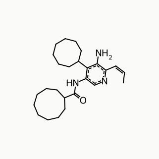 C/C=C\c1ncc(NC(=O)C2CCCCCCCC2)c(C2CCCCCCC2)c1N